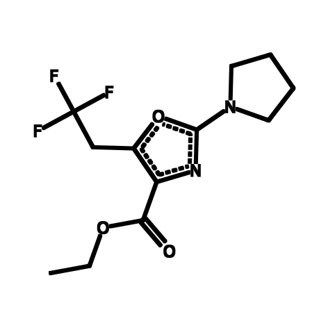 CCOC(=O)c1nc(N2CCCC2)oc1CC(F)(F)F